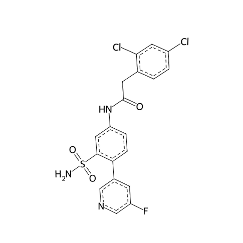 NS(=O)(=O)c1cc(NC(=O)Cc2ccc(Cl)cc2Cl)ccc1-c1cncc(F)c1